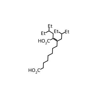 CCC(CC)CC(CCCCCCCC(=O)O)=C(CC(CC)CC)C(=O)O